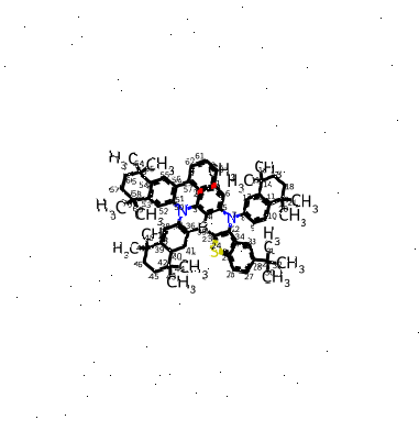 Cc1cc2c3c(c1)N(c1ccc4c(c1)C(C)(C)CCC4(C)C)c1c(sc4ccc(C(C)(C)C)cc14)B3C1=C(C=C3C(C1)C(C)(C)CCC3(C)C)N2c1cc2c(cc1-c1ccccc1)C(C)(C)CCC2(C)C